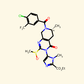 CCOC(=O)c1ncc(-n2c([S+](C)[O-])nc3c(c2=O)C[C@@H](C)N(C(=O)c2ccc(Cl)c(C(F)(F)F)c2)C3)n1C